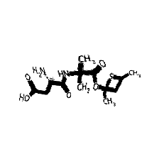 CC1CC(C)(OC(=O)C(C)(C)NC(=O)[C@@H](N)CC(=O)O)S1